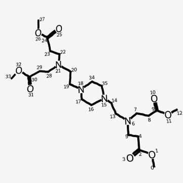 COC(=O)CCN(CCC(=O)OC)CCN1CCN(CCN(CCC(=O)OC)CCC(=O)OC)CC1